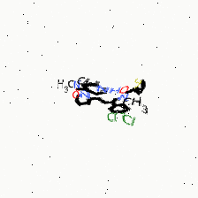 CN(C)C(=O)C1(N2CCCCC2CCC(CN(C)C(=O)c2cccs2)c2ccc(Cl)c(Cl)c2)CCNCC1